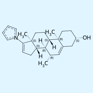 C[C@H]1C=C2C[C@@H](O)CC[C@]2(C)[C@H]2CC[C@]3(C)C(n4cccc4)=CC[C@H]3[C@H]12